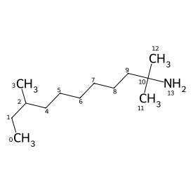 CCC(C)CCCCCCC(C)(C)N